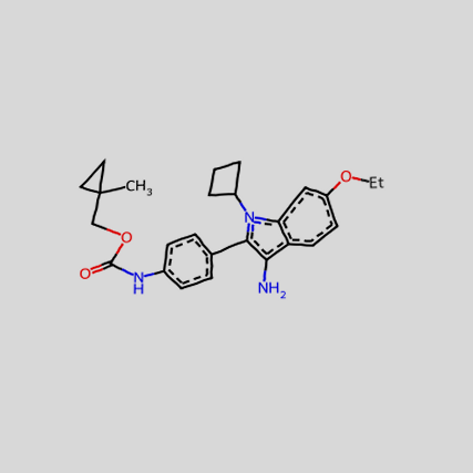 CCOc1ccc2c(N)c(-c3ccc(NC(=O)OCC4(C)CC4)cc3)n(C3CCC3)c2c1